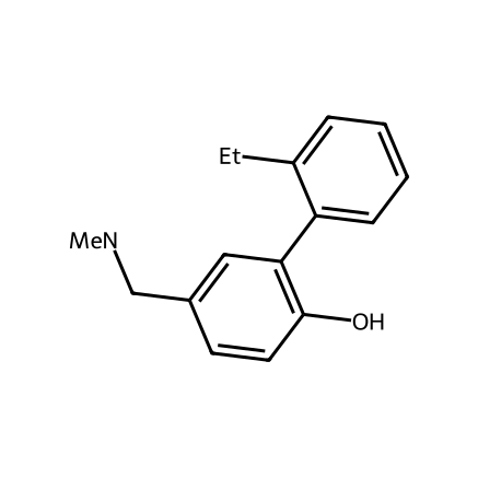 CCc1ccccc1-c1cc(CNC)ccc1O